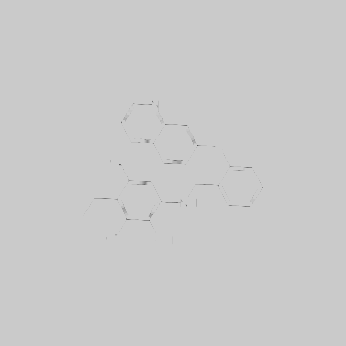 CCc1c(Cl)cc(NCc2ccccc2Sc2ccc3cccnc3c2)c(O)c1Cl